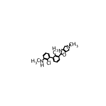 CNc1cccc(-c2cccc(-c3nc4c(o3)CN(C)C4)c2C)c1Cl